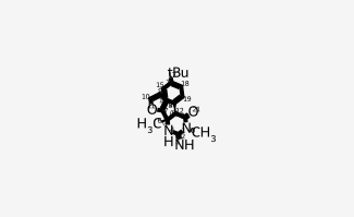 CN1C(=N)N[C@](C)(c2ccco2)[C@@H](c2ccc(C(C)(C)C)cc2)C1=O